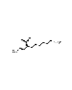 CCCCCCCCC=CC(CCCCCCC(=O)O)=S(=O)=O